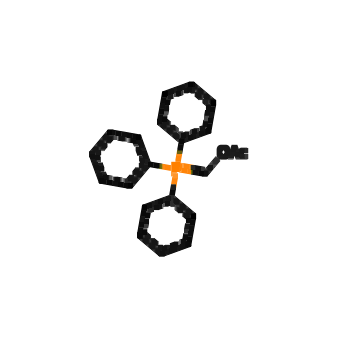 CC(=O)OC=P(c1ccccc1)(c1ccccc1)c1ccccc1